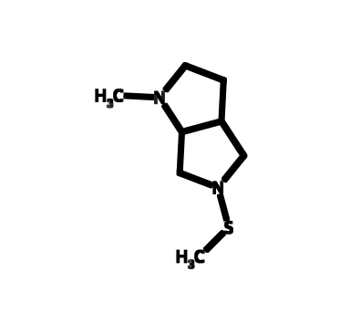 CSN1CC2CCN(C)C2C1